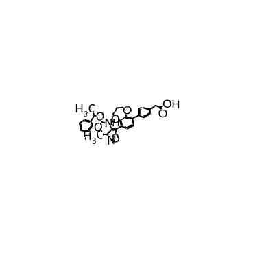 Cc1noc(-c2ccc(-c3ccc(CC(=O)O)cc3)c3c2OCCCO3)c1NC(=O)OC(C)c1ccccc1